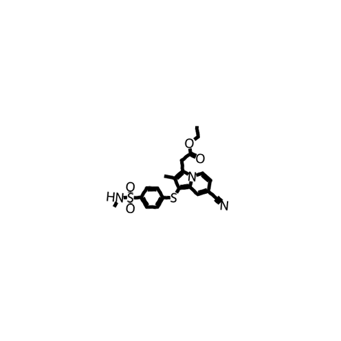 CCOC(=O)Cc1c(C)c(Sc2ccc(S(=O)(=O)NC)cc2)c2cc(C#N)ccn12